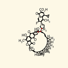 CO[C@H]1/C=C/O[C@@]2(C)Oc3c(C)c(O)c4c(c3C2=O)C(=O)C(CNC[C@@H]2CCN(c3c(F)cn5c(=O)c(C(=O)O)cc(C6CC6)c5c3C)C2)=C(NC(=O)/C(C)=C\C=C\[C@H](C)[C@H](O)[C@@H](C)[C@@H](O)[C@@H](C)[C@H](OC(C)=O)[C@@H]1C)C4=O